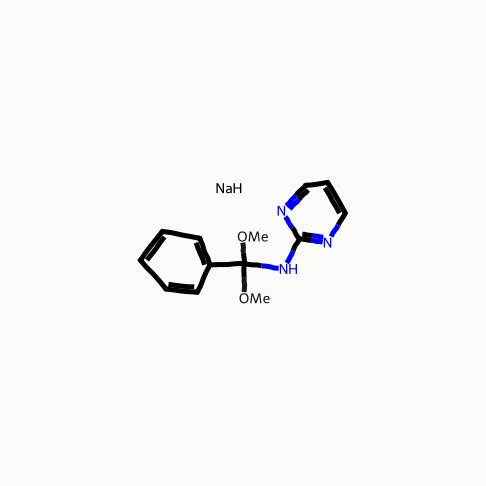 COC(Nc1ncccn1)(OC)c1ccccc1.[NaH]